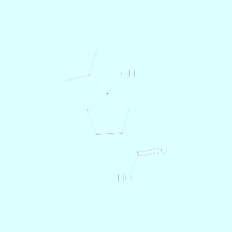 CC(C)C1(O)CCC(C(=O)O)C1